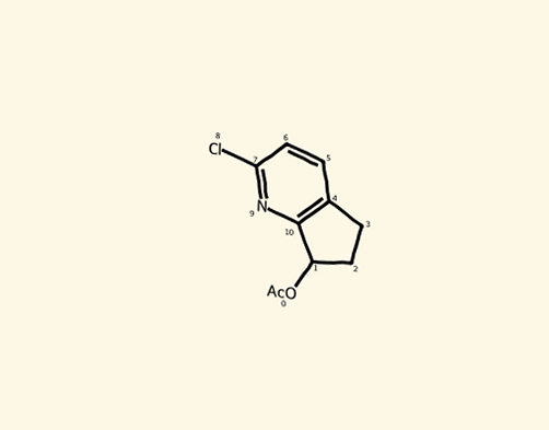 CC(=O)OC1CCc2ccc(Cl)nc21